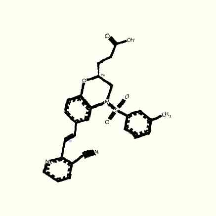 Cc1cccc(S(=O)(=O)N2C[C@H](CCC(=O)O)Oc3ccc(/C=C/c4ncccc4C#N)cc32)c1